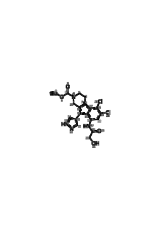 CC(C)(C)OC(=O)N1CCn2c(c(-c3cn[nH]c3)c3c(NC(=O)CO)cc(Cl)c(Cl)c32)C1